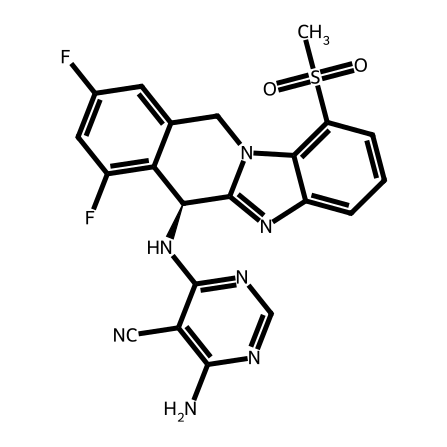 CS(=O)(=O)c1cccc2nc3n(c12)Cc1cc(F)cc(F)c1[C@@H]3Nc1ncnc(N)c1C#N